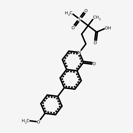 COc1ccc(-c2ccc3c(=O)n(CCC(C)(C(=O)O)S(C)(=O)=O)ccc3c2)cc1